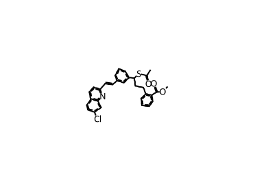 COC(=O)c1ccccc1CCC(SC(C)=O)c1cccc(C=Cc2ccc3ccc(Cl)cc3n2)c1